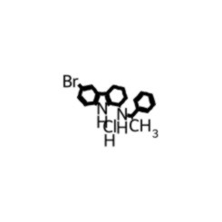 C[C@H](N[C@H]1CCCc2c1[nH]c1ccc(Br)cc21)c1ccccc1.Cl